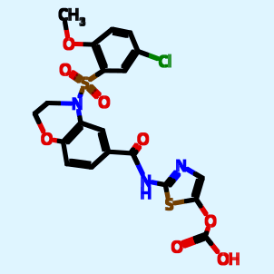 COc1ccc(Cl)cc1S(=O)(=O)N1CCOc2ccc(C(=O)Nc3ncc(OC(=O)O)s3)cc21